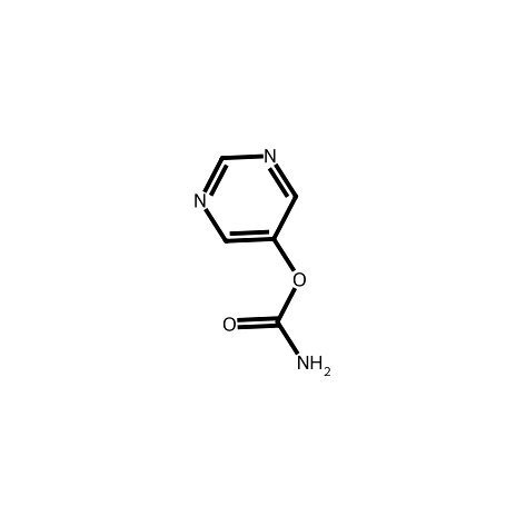 NC(=O)Oc1cncnc1